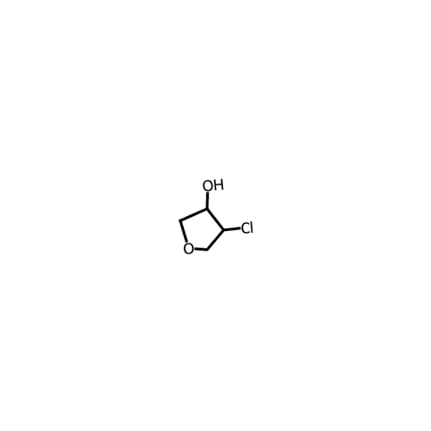 OC1COCC1Cl